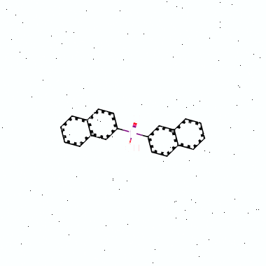 O=P(O)(c1ccc2ccccc2c1)c1ccc2ccccc2c1